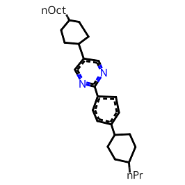 CCCCCCCCC1CCC(c2cnc(-c3ccc(C4CCC(CCC)CC4)cc3)nc2)CC1